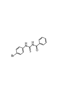 O=C(NC(=S)Nc1ccc(Br)cc1)c1ccccc1